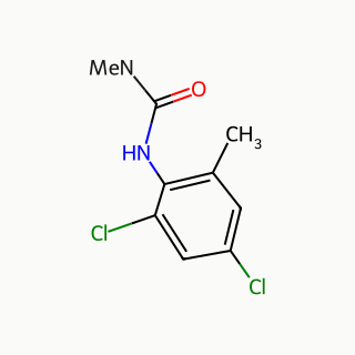 CNC(=O)Nc1c(C)cc(Cl)cc1Cl